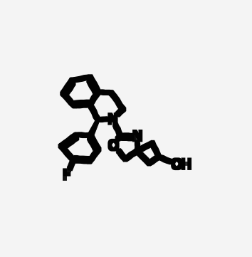 OC1CC2(COC(N3CCc4ccccc4[C@@H]3c3ccc(F)cc3)=N2)C1